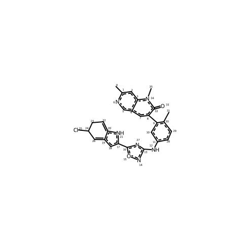 Cc1cc2c(cn1)cc(-c1cc(Nc3noc(-c4cc5c([nH]4)=CCC(Cl)C=5)n3)ccc1C)c(=O)n2C